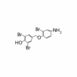 Nc1ccc(OCc2cc(Br)c(O)c(Br)c2)c(Br)c1